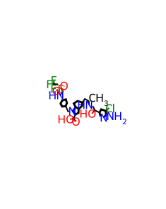 CC(Cc1ccc2c(c1)cc(C(=O)O)n2Cc1ccc(NCS(=O)(=O)CC(F)(F)F)cc1)NCC(O)c1cnc(N)c(Cl)c1